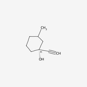 C#C[C@@]1(O)CCCC(C)C1